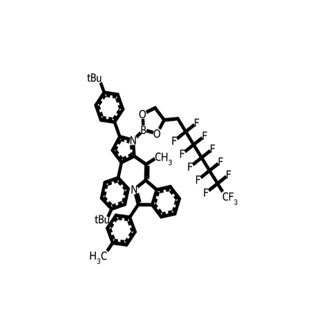 C/C(=C1/N=C(c2ccc(C)cc2)c2ccccc21)c1c(-c2ccc(C(C)(C)C)cc2)cc(-c2ccc(C(C)(C)C)cc2)n1B1OCC(CC(F)(F)C(F)(F)C(F)(F)C(F)(F)C(F)(F)C(F)(F)F)O1